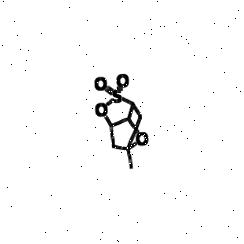 CC12CC3OS(=O)(=O)C(C1)C3O2